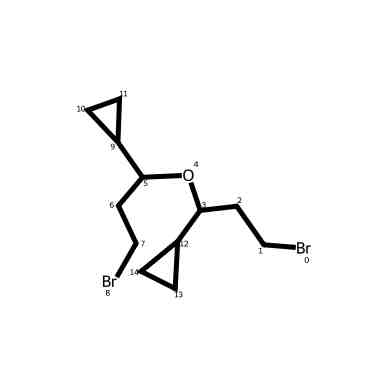 BrCCC(OC(CCBr)C1CC1)C1CC1